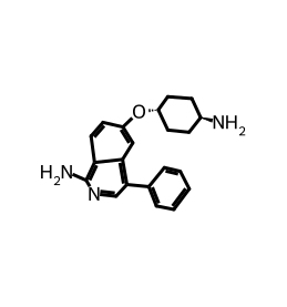 Nc1ncc(-c2ccccc2)c2cc(O[C@H]3CC[C@H](N)CC3)ccc12